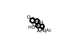 CC(=O)O[C@]1(C(C)=O)CC[C@H]2[C@@H]3CCC4=CC(=O)CC[C@]4(C)[C@@]3(F)[C@@H](O)C[C@@]21C